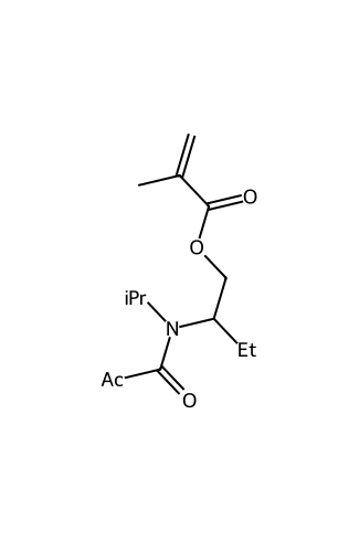 C=C(C)C(=O)OCC(CC)N(C(=O)C(C)=O)C(C)C